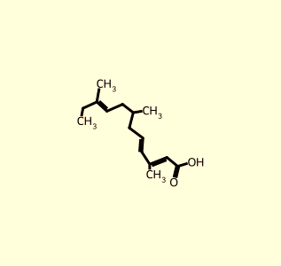 CCC(C)=CCC(C)CC=CC(C)=CC(=O)O